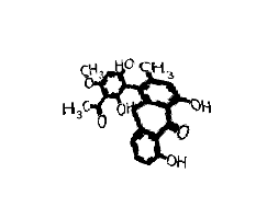 COc1cc(O)c(-c2c(C)cc(O)c3c2Cc2cccc(O)c2C3=O)c(O)c1C(C)=O